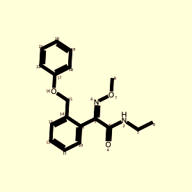 CCNC(=O)C(=NOC)c1ccccc1COc1ccccc1